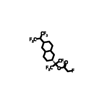 O=C(CF)OC([C@@H]1CCC2CC(C(C(F)(F)F)C(F)(F)F)CCC2C1)(C(F)(F)F)C(F)(F)F